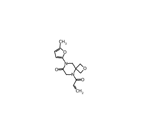 C=CC(=O)N1CC(=O)N(c2ccc(C)o2)CC12COC2